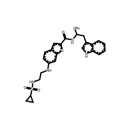 CCCCC(Cc1c[nH]c2ccccc12)NC(=O)c1cc2ccc(NCCNS(=O)(=O)C3CC3)cc2s1